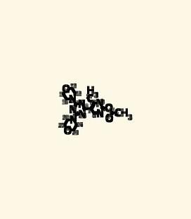 CC(=O)Oc1ncc(-c2nc(N3CCOCC3)nc(N3CCOCC3)n2)c(C)n1